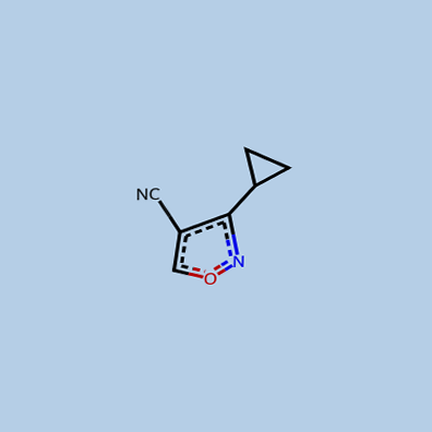 N#Cc1conc1C1CC1